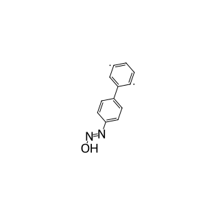 O/N=N/c1ccc(-c2[c]cc[c]c2)cc1